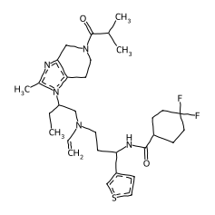 C=CN(CCC(NC(=O)C1CCC(F)(F)CC1)c1ccsc1)CC(CC)n1c(C)nc2c1CCN(C(=O)C(C)C)C2